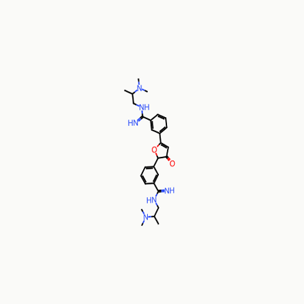 CC(CNC(=N)c1cccc(C2=CC(=O)C(c3cccc(C(=N)NCC(C)N(C)C)c3)O2)c1)N(C)C